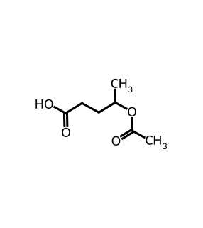 CC(=O)OC(C)CCC(=O)O